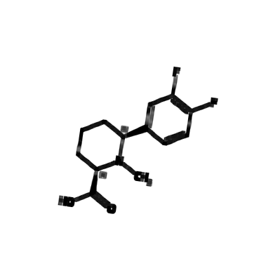 CN1[C@@H](C(=O)O)CCC[C@H]1c1ccc(F)c(F)c1